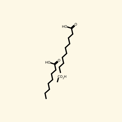 CC(=O)O.CCCCCCCC(=O)O.CCCCCCCCCC(=O)O